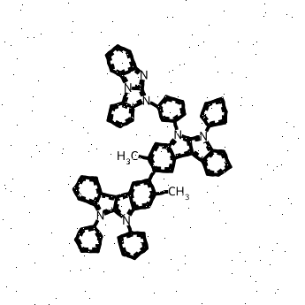 Cc1cc2c(cc1-c1cc3c4c5ccccc5n(-c5ccccc5)c4n(-c4cccc(-n5c6ccccc6n6c7ccccc7nc56)c4)c3cc1C)c1c3ccccc3n(-c3ccccc3)c1n2-c1ccccc1